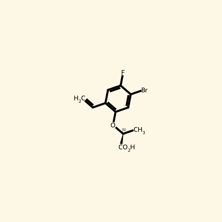 C=Cc1cc(F)c(Br)cc1O[C@@H](C)C(=O)O